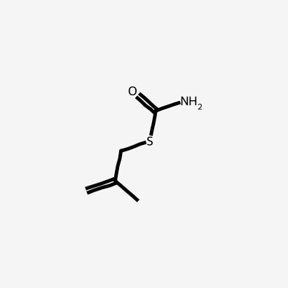 C=C(C)CSC(N)=O